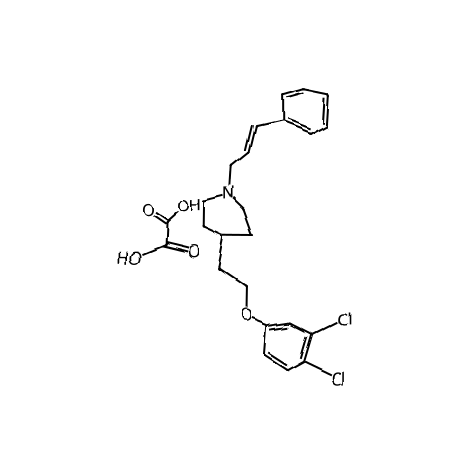 Clc1ccc(OCCC2CCN(C/C=C/c3ccccc3)CC2)cc1Cl.O=C(O)C(=O)O